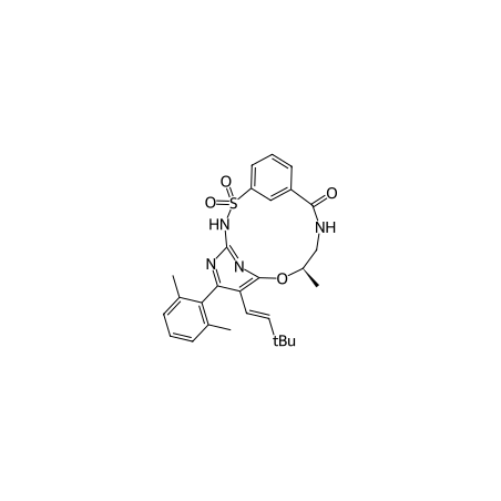 Cc1cccc(C)c1-c1nc2nc(c1/C=C/C(C)(C)C)O[C@H](C)CNC(=O)c1cccc(c1)S(=O)(=O)N2